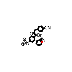 N#Cc1ccc(Cc2oc3cc(N=S(=O)=O)ccc3c2Br)cc1.c1cc2c3nc-2ccc3c1